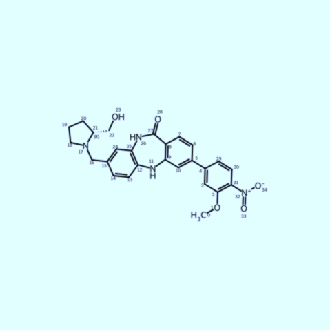 COc1cc(-c2ccc3c(c2)Nc2ccc(CN4CCC[C@@H]4CO)cc2NC3=O)ccc1[N+](=O)[O-]